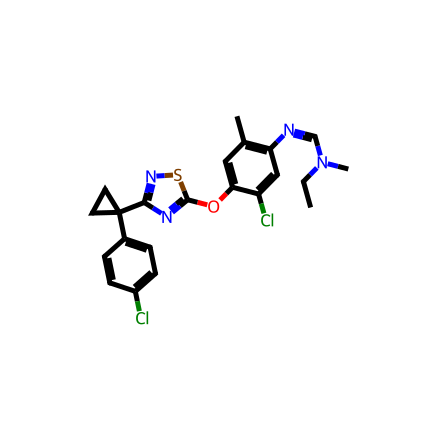 CCN(C)/C=N\c1cc(Cl)c(Oc2nc(C3(c4ccc(Cl)cc4)CC3)ns2)cc1C